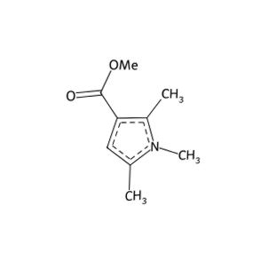 [CH2]OC(=O)c1cc(C)n(C)c1C